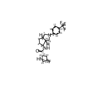 O=C(N[C@H]1CC[C@@H]2CN(c3ccc(C(F)(F)F)cc3)C[C@@H]21)[C@@H]1C[C@@H](F)CN1